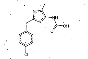 Cc1nc(Cc2ccc(Cl)cc2)sc1NC(=O)O